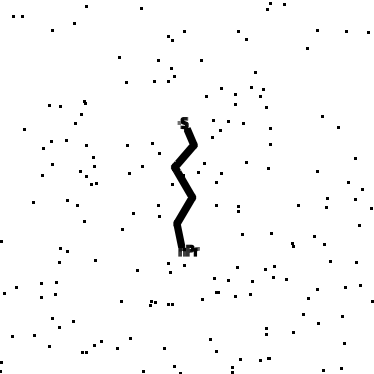 [CH2]CCCCCC[S]